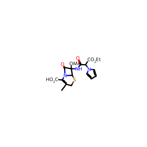 CCOC(=O)C(C(=O)NC1(OC)C(=O)N2C(C(=O)O)=C(C)CSC21)n1cccc1